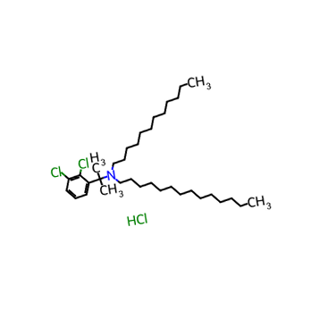 CCCCCCCCCCCCCCN(CCCCCCCCCCCC)C(C)(C)c1cccc(Cl)c1Cl.Cl